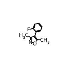 Cc1noc(C)c1-c1ccccc1F